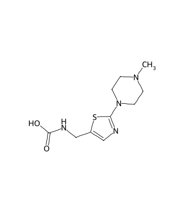 CN1CCN(c2ncc(CNC(=O)O)s2)CC1